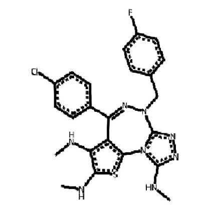 CNc1sc2c(c1NC)C(c1ccc(Cl)cc1)=NN(Cc1ccc(F)cc1)c1nnc(NC)n1-2